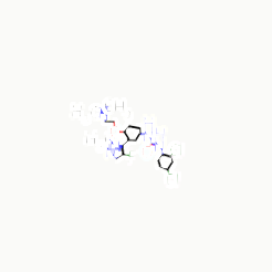 CN(C)CCOc1ccc(NC(=O)Nc2ccc(Cl)cc2Cl)cc1-c1c(F)cnn1C